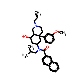 C=CCN1CCC2(c3cccc(OC)c3)CC(N(CC(C)C)C(=O)c3ccc4ccccc4c3)CC(O)C2C1